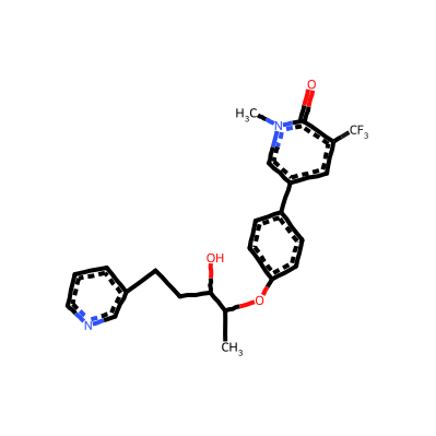 CC(Oc1ccc(-c2cc(C(F)(F)F)c(=O)n(C)c2)cc1)C(O)CCc1cccnc1